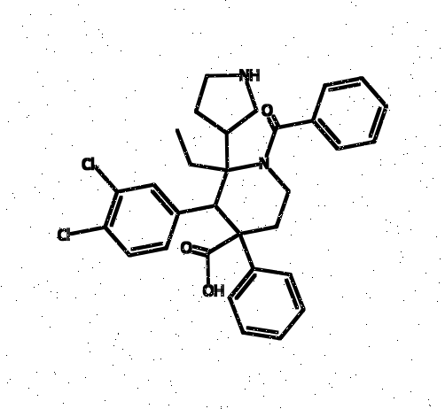 CCC1(C2CCNC2)C(c2ccc(Cl)c(Cl)c2)C(C(=O)O)(c2ccccc2)CCN1C(=O)c1ccccc1